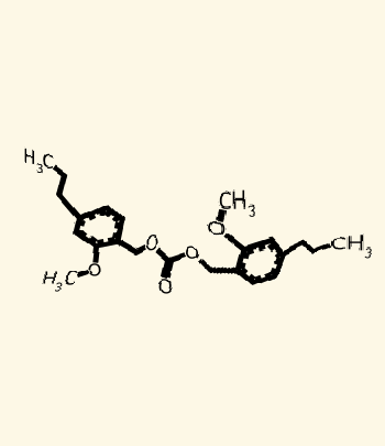 CCCc1ccc(COC(=O)OCc2ccc(CCC)cc2OC)c(OC)c1